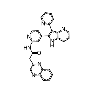 O=C(Cc1cnc2ccccc2n1)Nc1cc(-c2[nH]c3cccnc3c2-c2ccccn2)ccn1